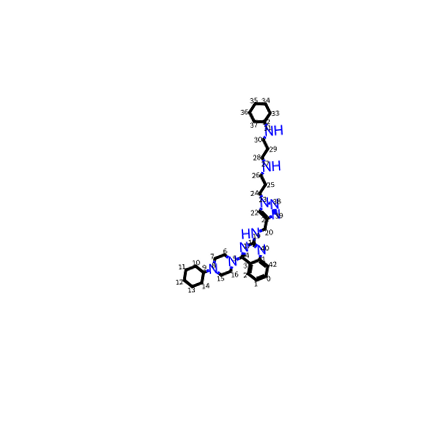 c1ccc2c(N3CCN(C4CCCCC4)CC3)nc(NCc3cn(CCCNCCCNC4CCCCC4)nn3)nc2c1